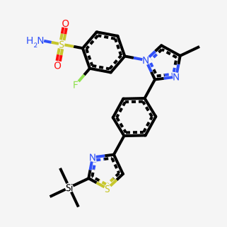 Cc1cn(-c2ccc(S(N)(=O)=O)c(F)c2)c(-c2ccc(-c3csc([Si](C)(C)C)n3)cc2)n1